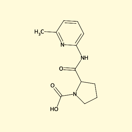 Cc1cccc(NC(=O)C2CCCN2C(=O)O)n1